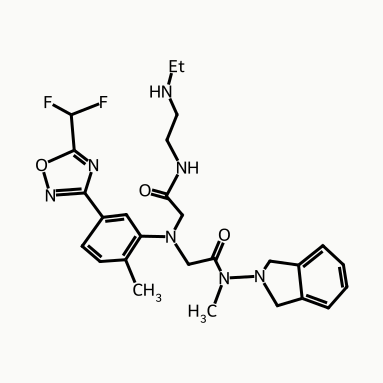 CCNCCNC(=O)CN(CC(=O)N(C)N1Cc2ccccc2C1)c1cc(-c2noc(C(F)F)n2)ccc1C